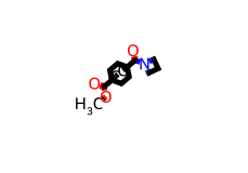 COC(=O)C12CCC(C(=O)N3CCC3)(CC1)CC2